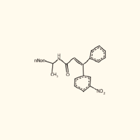 CCCCCCCCCC(C)NC(=O)C=C(c1ccccc1)c1cccc([N+](=O)[O-])c1